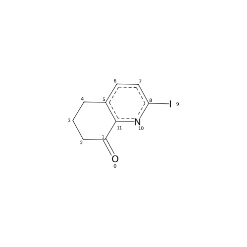 O=C1CCCc2ccc(I)nc21